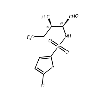 C[C@H](CC(F)(F)F)[C@@H](C=O)NS(=O)(=O)c1ccc(Cl)s1